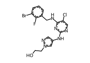 OCCn1cc(Nc2ncc(Cl)c(NCc3cccc(Br)c3F)n2)cn1